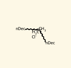 CCCCCCCCCCCCCC/C=C/C=C/[N+](C)(C)/C=C/C=C/CCCCCCCCCCCCCC.[Cl-]